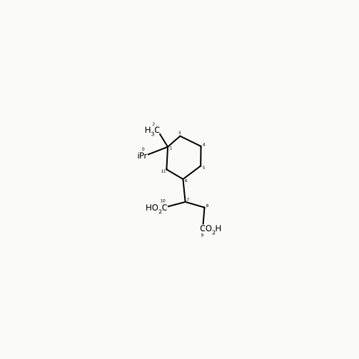 CC(C)C1(C)CCCC(C(CC(=O)O)C(=O)O)C1